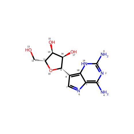 Nc1nc(N)c2ncc([C@@H]3O[C@H](CO)[C@@H](O)[C@H]3O)c-2[nH]1